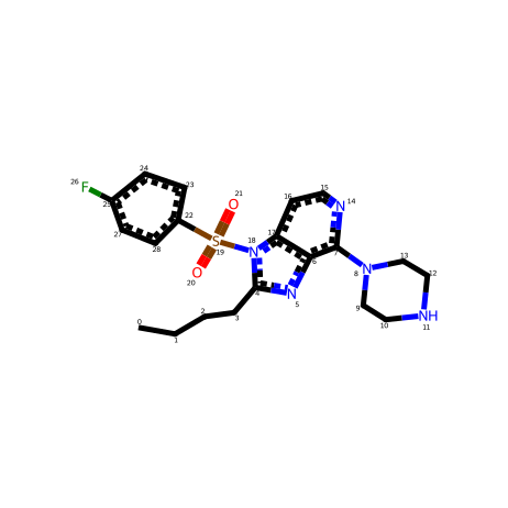 CCCCc1nc2c(N3CCNCC3)nccc2n1S(=O)(=O)c1ccc(F)cc1